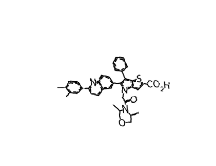 Cc1ccc(-c2ccc3cc(-c4c(-c5ccccc5)c5sc(C(=O)O)cc5n4CC(=O)N4C(C)COCC4C)ccc3n2)cc1C